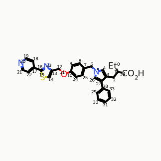 CCC(Cc1cn(Cc2ccc(OCc3csc(-c4ccncc4)n3)cc2)cc1-c1ccccc1)C(=O)O